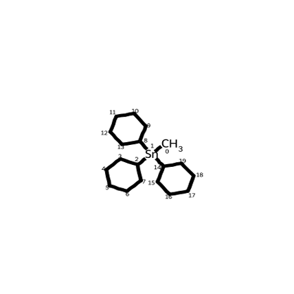 [CH3][Sn]([CH]1CCCCC1)([CH]1CCCCC1)[CH]1CCCCC1